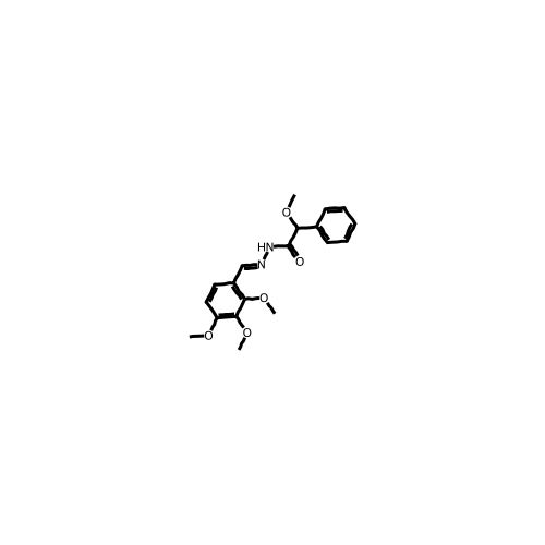 COc1ccc(/C=N/NC(=O)C(OC)c2ccccc2)c(OC)c1OC